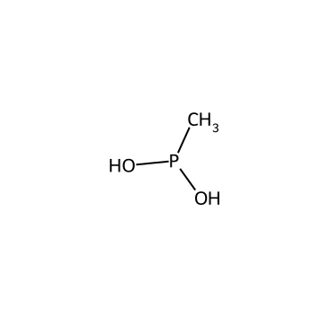 CP(O)O